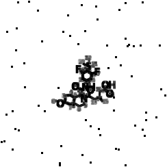 COc1ccc2c(c1)CCN(C(=O)CC(C)CC(=O)O)[C@H]2C(=O)Nc1cc(F)c(S(C)(C)C)c(F)c1